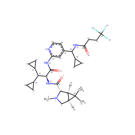 CN1C[C@H]2[C@@H]([C@H]1C(=O)N[C@H](C(=O)Nc1cc(C(NC(=O)CCC(F)(F)F)C3CC3)ccn1)C(C1CC1)C1CC1)C2(C)C